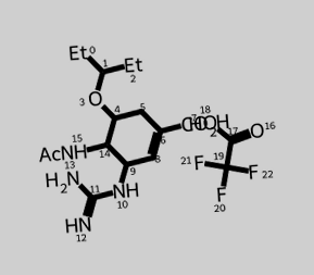 CCC(CC)OC1CC(C(=O)O)=CC(NC(=N)N)C1NC(C)=O.O=C(O)C(F)(F)F